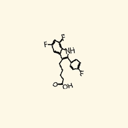 O=C(O)CCCCc1c(-c2ccc(F)cc2)[nH]c2c(F)cc(F)cc12